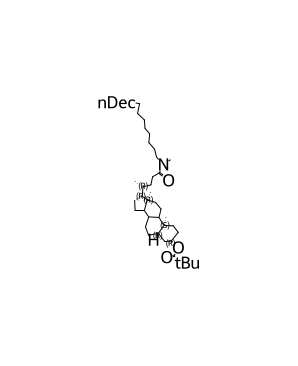 CCCCCCCCCCCCCCCCCCN(C)C(=O)CC[C@@H](C)[C@H]1CCC2C3CC[C@@H]4C[C@H](OC(=O)C(C)(C)C)CC[C@]4(C)C3CC[C@@]21C